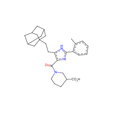 Cc1ccccc1-c1nc(C(=O)N2CCCC(C(=O)O)C2)c(CCC23CC4CC(CC(C4)C2)C3)[nH]1